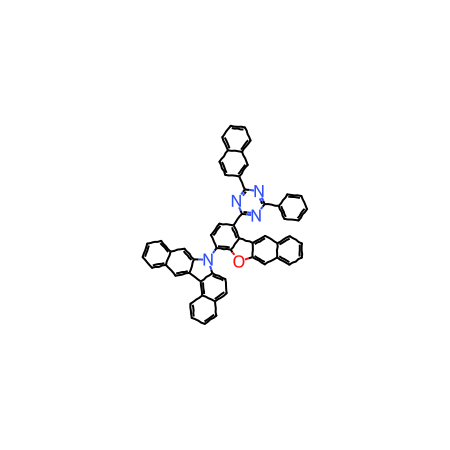 c1ccc(-c2nc(-c3ccc4ccccc4c3)nc(-c3ccc(-n4c5cc6ccccc6cc5c5c6ccccc6ccc54)c4oc5cc6ccccc6cc5c34)n2)cc1